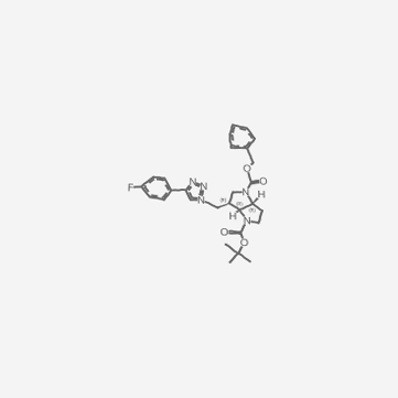 CC(C)(C)OC(=O)N1CC[C@@H]2[C@H]1[C@@H](Cn1cc(-c3ccc(F)cc3)nn1)CN2C(=O)OCc1ccccc1